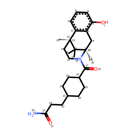 CC1(C)[C@H]2Cc3c(O)cccc3[C@]1(C)CCN2C(=O)C1CCC(CCC(N)=O)CC1